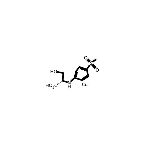 CS(=O)(=O)c1ccc(N[C@@H](CO)C(=O)O)cc1.[Cu]